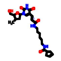 CC1CC(n2cc(/C=C/C(=O)NCCCCCCNC(=O)C3=CC=CC3)c(=O)[nH]c2=O)OC1CO